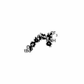 CC1CN(c2sc(C(F)(F)F)nc2-c2nc3ccccc3[nH]2)CCN1C(=O)Cn1cc(C2CCN(C(=O)OC(C)(C)C)CC2)cn1